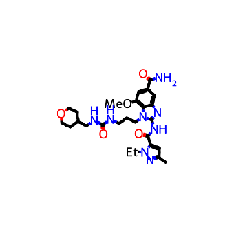 CCn1nc(C)cc1C(=O)Nc1nc2cc(C(N)=O)cc(OC)c2n1CCCNC(=O)NCC1CCOCC1